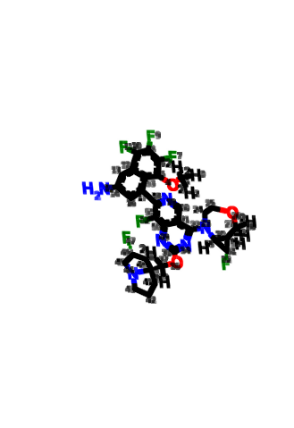 [2H]C([2H])([2H])Oc1c(F)c(F)c(F)c2cc(N)cc(-c3ncc4c(N5CCOC([2H])([2H])[C@H]6[C@H](F)[C@H]65)nc(OC([2H])([2H])[C@@]56CCCN5C[C@H](F)C6)nc4c3F)c12